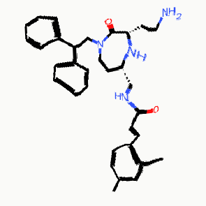 Cc1ccc(/C=C/C(=O)NC[C@@H]2CCN(CC(c3ccccc3)c3ccccc3)C(=O)[C@H](CCN)N2)c(C)c1